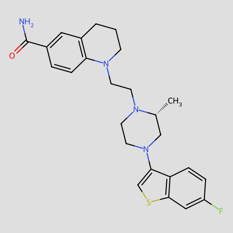 C[C@@H]1CN(c2csc3cc(F)ccc23)CCN1CCN1CCCc2cc(C(N)=O)ccc21